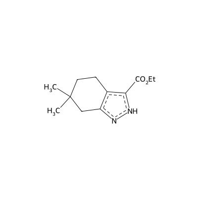 CCOC(=O)c1[nH]nc2c1CCC(C)(C)C2